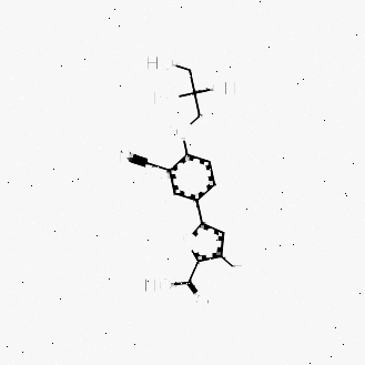 CC(C)(CO)COc1ccc(-c2cc(F)c(C(=O)O)s2)cc1C#N